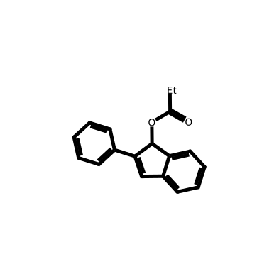 CCC(=O)OC1C(c2ccccc2)=Cc2ccccc21